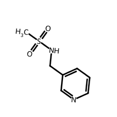 CS(=O)(=O)NCc1cccnc1